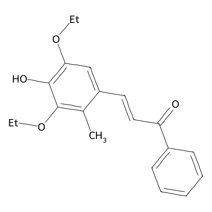 CCOc1cc(C=CC(=O)c2ccccc2)c(C)c(OCC)c1O